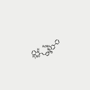 CC(=O)Nc1cc(-c2ccccc2)ccc1S(=O)(=O)n1ccc(C=CC(=O)Nc2ccccc2N)c1